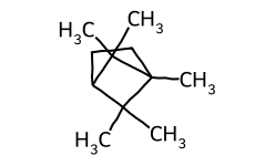 CC1(C)C2CCC1(C)C2(C)C